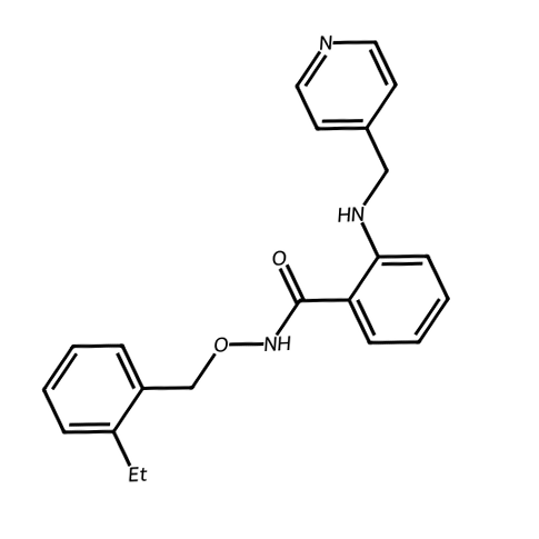 CCc1ccccc1CONC(=O)c1ccccc1NCc1ccncc1